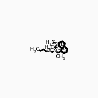 CCCCOCN([C@@H](C)c1cccc2ccccc12)C(C)(C)[SiH2]C